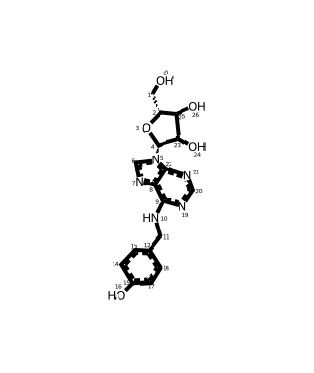 OC[C@H]1O[C@@H](n2cnc3c(NCc4ccc(O)cc4)ncnc32)C(O)C1O